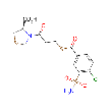 NS(=O)(=O)c1cc(C(=O)SCCC(=O)N2CSC[C@H]2C(=O)O)ccc1Cl